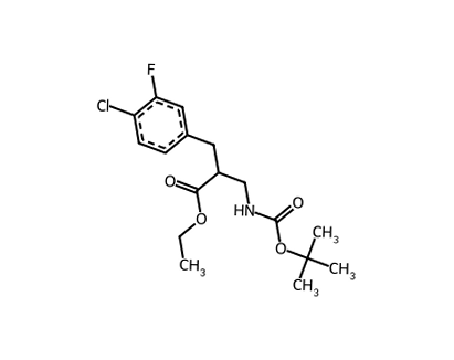 CCOC(=O)C(CNC(=O)OC(C)(C)C)Cc1ccc(Cl)c(F)c1